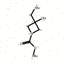 CCCCOC(=O)N1CC(O)(CC(C)(C)C)C1